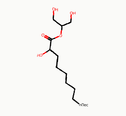 CCCCCCCCCCCCCCCCC(O)C(=O)OC(CO)CO